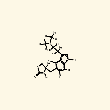 [2H]c1c(C[C@@]2([2H])COC(=O)N2[2H])c([2H])c2c(C([2H])([2H])C([2H])([2H])N(C([2H])([2H])[2H])C([2H])([2H])[2H])cn([2H])c2c1[2H]